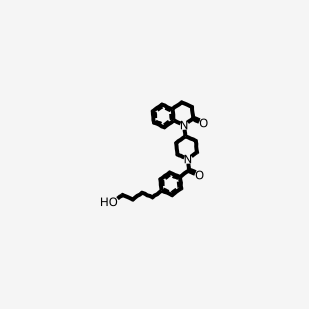 O=C(c1ccc(CCCCO)cc1)N1CCC(N2C(=O)CCc3ccccc32)CC1